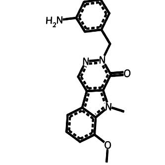 COc1cccc2c3cnn(Cc4cccc(N)c4)c(=O)c3n(C)c12